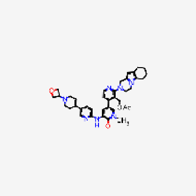 CC(=O)OCc1c(-c2cc(Nc3ccc(C4=CCN(C5COC5)CC4)cn3)c(=O)n(C)c2)ccnc1N1CCn2c(cc3c2CCCC3)C1